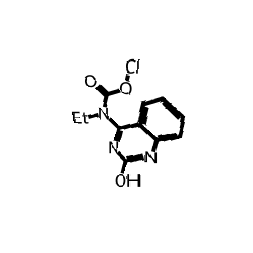 CCN(C(=O)OCl)c1nc(O)nc2ccccc12